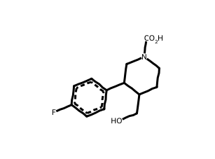 O=C(O)N1CCC(CO)C(c2ccc(F)cc2)C1